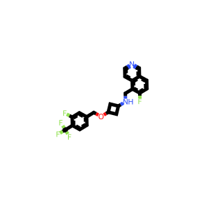 Fc1cc(COC2CC(NCc3c(F)ccc4cnccc34)C2)ccc1C(F)(F)F